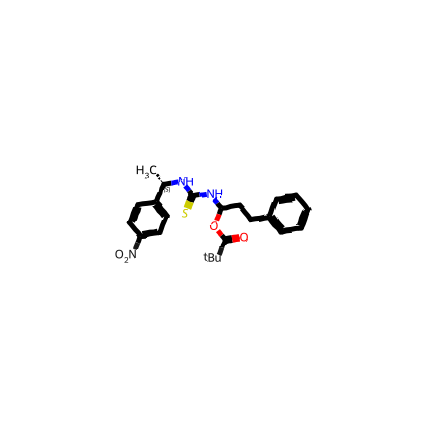 C[C@H](NC(=S)NC(CCc1ccccc1)OC(=O)C(C)(C)C)c1ccc([N+](=O)[O-])cc1